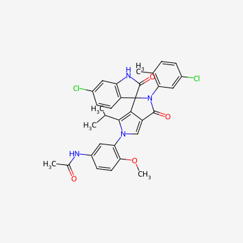 COc1ccc(NC(C)=O)cc1-n1cc2c(c1C(C)C)C1(C(=O)Nc3cc(Cl)ccc31)N(c1cc(Cl)ccc1C)C2=O